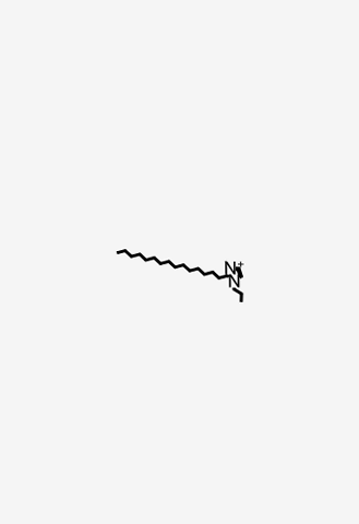 CCCCCCCCCCCCCCCc1n(CCC)cc[n+]1C